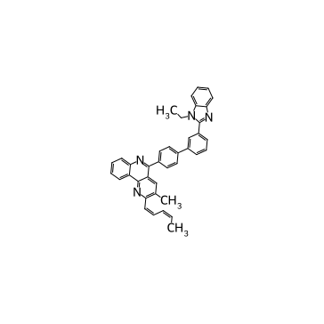 C/C=C\C=C/c1nc2c(cc1C)c(-c1ccc(-c3cccc(-c4nc5ccccc5n4CC)c3)cc1)nc1ccccc12